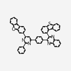 c1ccc(-c2nc(-c3ccc(-c4nc5ccccc5nc4-c4cccc5sc6ccccc6c45)cc3)cc(-c3ccc4c(c3)oc3ccccc34)n2)cc1